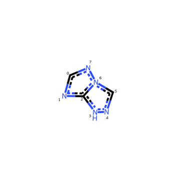 c1nc2[nH]ncn2n1